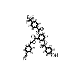 N#Cc1ccc(COC(=O)c2cc(OC(=O)c3ccc(O)cc3)ccc2OC(=O)c2ccc(C(F)(F)F)cc2)cc1